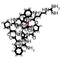 N=C(N)NCCC[C@H](N)C(=O)N1CCC[C@H]1C(=O)N1CCC[C@H]1C(=O)NCC(=O)N[C@@H](Cc1ccccc1)C(=O)N[C@@H](CO)C(=O)N1CCCN1C(=O)N[C@@H](Cc1ccccc1)C(=O)N[C@H](CCCNC(=N)N)C(=O)O